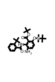 CC(C)(C)OC(=O)c1c(O[Si](C)(C)C(C)(C)C)ccc(N)c1NC(=O)c1ccccc1C(C)(C)C